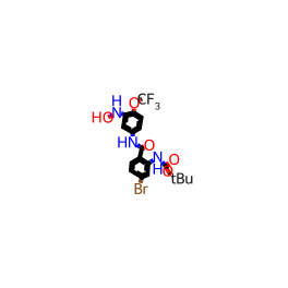 CC(C)(C)OC(=O)Nc1cc(Br)ccc1C(=O)Nc1ccc(OC(F)(F)F)c(NO)c1